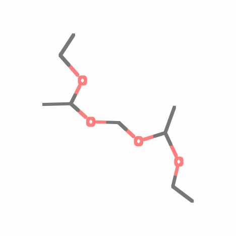 CCOC(C)OCOC(C)OCC